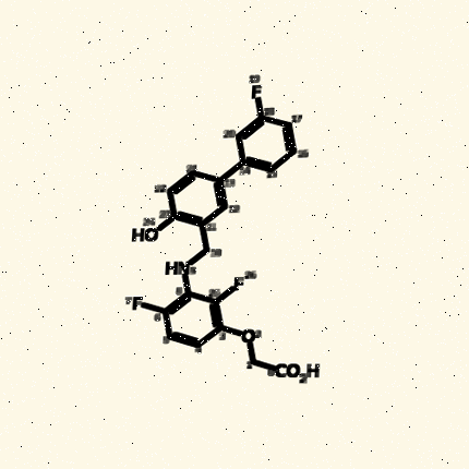 O=C(O)COc1ccc(F)c(NCc2cc(-c3cccc(F)c3)ccc2O)c1F